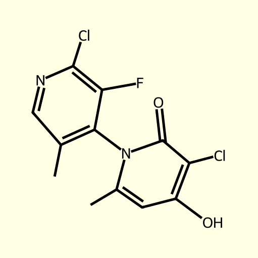 Cc1cnc(Cl)c(F)c1-n1c(C)cc(O)c(Cl)c1=O